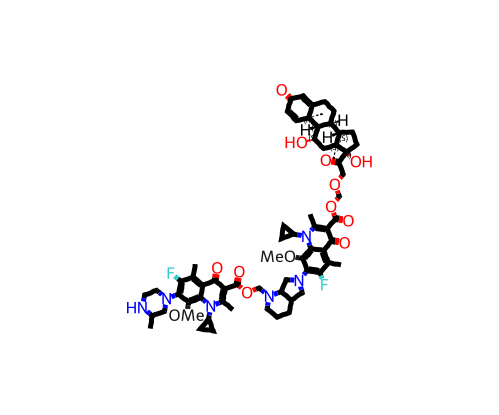 COc1c(N2CCNC(C)C2)c(F)c(C)c2c(=O)c(C(=O)OCN3CCCC4CN(c5c(F)c(C)c6c(=O)c(C(=O)OCOCC(=O)[C@@]7(O)CC[C@H]8[C@@H]9CCC%10=CC(=O)C=C[C@]%10(C)[C@H]9[C@@H](O)C[C@@]87C)c(C)n(C7CC7)c6c5OC)CC43)c(C)n(C3CC3)c12